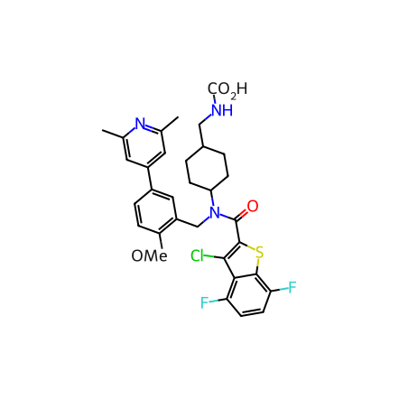 COc1ccc(-c2cc(C)nc(C)c2)cc1CN(C(=O)c1sc2c(F)ccc(F)c2c1Cl)C1CCC(CNC(=O)O)CC1